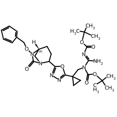 CC(C)(C)OC(=O)N=C(N)N(CC1(c2nnc(C3CC[C@@H]4CN3C(=O)N4OCc3ccccc3)o2)CC1)C(=O)OC(C)(C)C